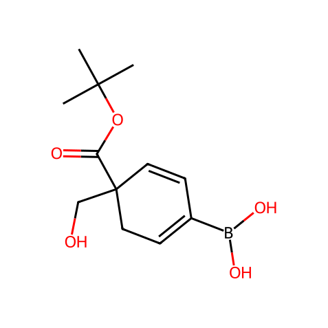 CC(C)(C)OC(=O)C1(CO)C=CC(B(O)O)=CC1